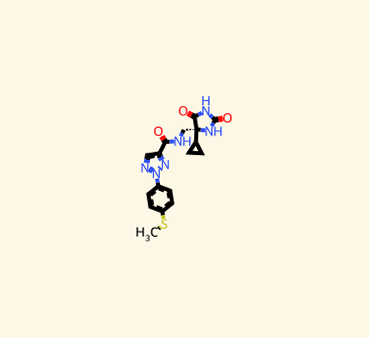 CSc1ccc(-n2ncc(C(=O)NC[C@@]3(C4CC4)NC(=O)NC3=O)n2)cc1